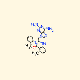 Cc1ccccc1N1C(=O)c2c(C)cccc2NC1Cn1cnc2c(N)nc(N)nc21